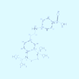 CC(C)N1CCC(C)(C)c2cc(CCNc3ccc(C(=O)O)cc3)ccc21